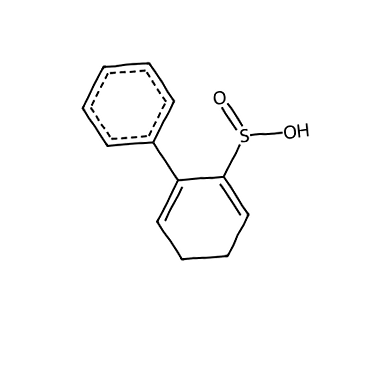 O=S(O)C1=CCCC=C1c1ccccc1